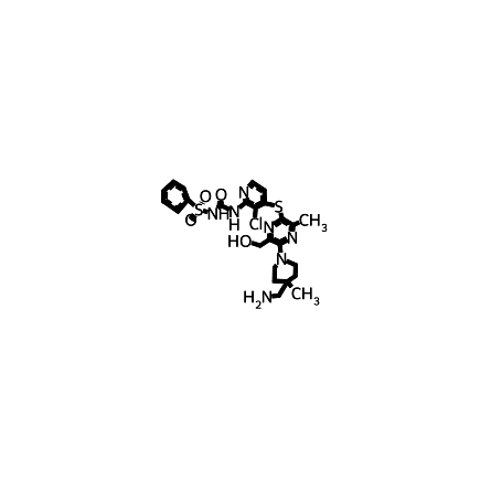 Cc1nc(N2CCC(C)(CN)CC2)c(CO)nc1Sc1ccnc(NC(=O)NS(=O)(=O)c2ccccc2)c1Cl